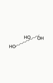 CC(O)CCCCC(O)CCCCCCCCCO